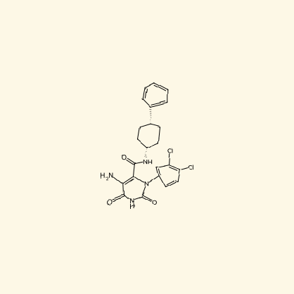 Nc1c(C(=O)N[C@H]2CC[C@@H](c3ccccc3)CC2)n(-c2ccc(Cl)c(Cl)c2)c(=O)[nH]c1=O